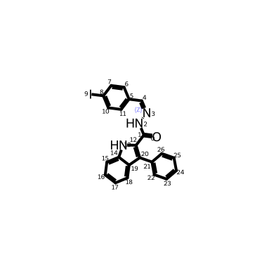 O=C(N/N=C\c1ccc(I)cc1)c1[nH]c2ccccc2c1-c1ccccc1